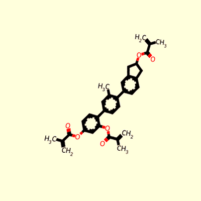 C=C(C)C(=O)Oc1ccc(-c2ccc(-c3ccc4c(c3)CC(OC(=O)C(=C)C)C4)c(C)c2)c(OC(=O)C(=C)C)c1